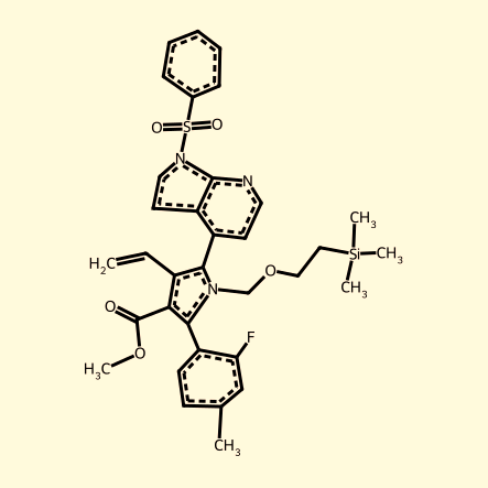 C=Cc1c(C(=O)OC)c(-c2ccc(C)cc2F)n(COCC[Si](C)(C)C)c1-c1ccnc2c1ccn2S(=O)(=O)c1ccccc1